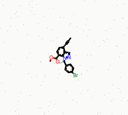 CC#Cc1ccc(C(=O)OC)c2c1cnn2[C@@H](C)c1ccc(Br)cc1